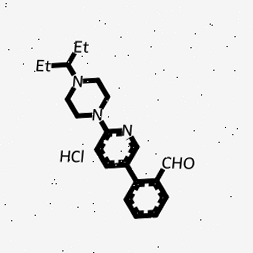 CCC(CC)N1CCN(c2ccc(-c3ccccc3C=O)cn2)CC1.Cl